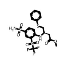 COC(=O)C[C@H](CSc1ccccc1)Nc1ccc(S(N)(=O)=O)cc1S(=O)(=O)C(F)(F)F